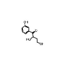 O=C(c1cccc(O)c1)C(O)CCO